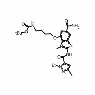 CCn1nc(C)cc1C(=O)Nc1nc2cc(C(N)=O)cc(OCCCCNC(=O)OC(C)(C)C)c2n1C